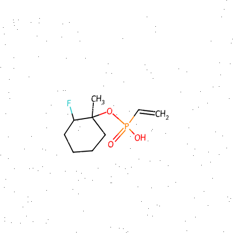 C=CP(=O)(O)OC1(C)CCCCC1F